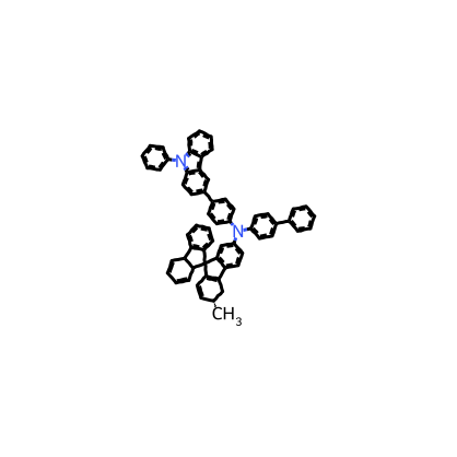 C[C@@H]1C=CC2=C(C1)c1ccc(N(c3ccc(-c4ccccc4)cc3)c3ccc(-c4ccc5c(c4)c4ccccc4n5-c4ccccc4)cc3)cc1C21c2ccccc2C2C=CC=CC21